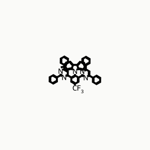 Cc1ccc2c3ccccc3n(-c3c(-c4cc(-c5ccccc5)nc(-c5ccccc5)n4)cc(C(F)(F)F)cc3-c3nc(-c4ccccc4)cc(-c4ccccc4)n3)c2c1